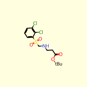 CC(C)(C)OC(=O)CCNCS(=O)(=O)c1cccc(Cl)c1Cl